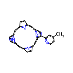 Cc1ccnc(-c2cc3cc4nc(cc5ccc(cc6nc(cc2[nH]3)C=C6)[nH]5)C=C4)c1